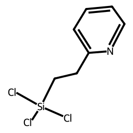 Cl[Si](Cl)(Cl)CCc1ccccn1